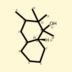 CC1CC2CCCC[C@H]2C(C)(O)C1(C)C